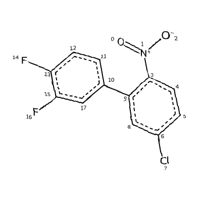 O=[N+]([O-])c1ccc(Cl)cc1-c1ccc(F)c(F)c1